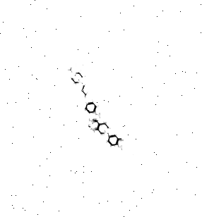 O=CCN1CCN(CCCOc2ccc(Nc3ncnc4c3CCN(c3ccc([N+](=O)[O-])c(C(F)(F)F)c3)C4)cc2)CC1